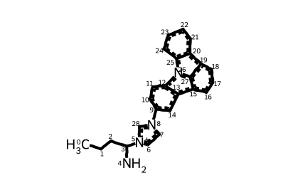 CCCC(N)[n+]1ccn(-c2ccc3c(c2)c2cccc4c5ccccc5n3c42)c1